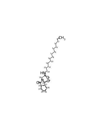 CCCCCCCCCCCCCCCNC(=O)CN1C(=O)c2ccccc2C1=O